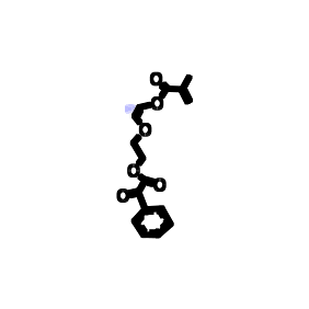 C=C(C)C(=O)O/C=C\OCCOC(=O)C(=O)c1ccccc1